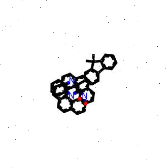 CC1(C)c2ccccc2-c2ccc(-c3nc4ccccc4nc3-n3c4ccc5ccc6ccc7ccc8ccc9ccc3c3c9c8c7c6c5c34)cc21